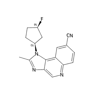 Cc1nc2cnc3ccc(C#N)cc3c2n1[C@H]1CC[C@@H](F)C1